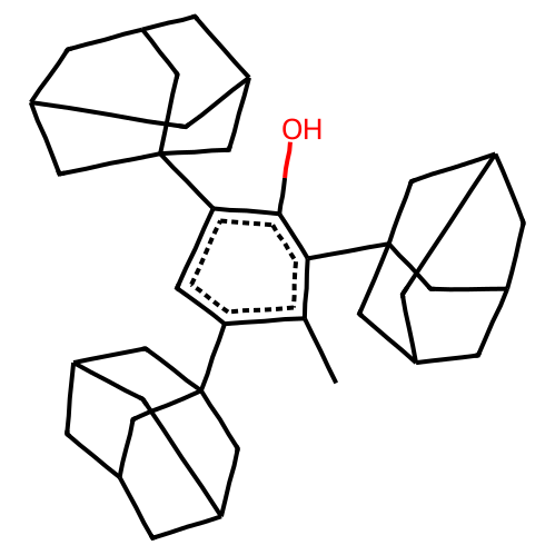 Cc1c(C23CC4CC(CC(C4)C2)C3)cc(C23CC4CC(CC(C4)C2)C3)c(O)c1C12CC3CC(CC(C3)C1)C2